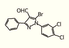 O=Cc1c(-c2ccccc2)nn(-c2ccc(Cl)c(Cl)c2)c1Br